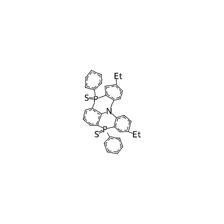 CCc1ccc2c(c1)P(=S)(c1ccccc1)c1cccc3c1N2c1ccc(CC)cc1P3(=S)c1ccccc1